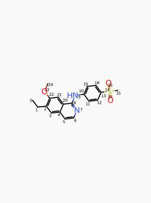 CCc1cc2ccnc(Nc3ccc(S(C)(=O)=O)cc3)c2cc1OC